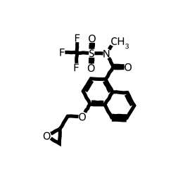 CN(C(=O)c1ccc(OCC2CO2)c2c#cccc12)S(=O)(=O)C(F)(F)F